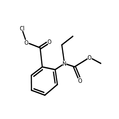 CCN(C(=O)OC)c1ccccc1C(=O)OCl